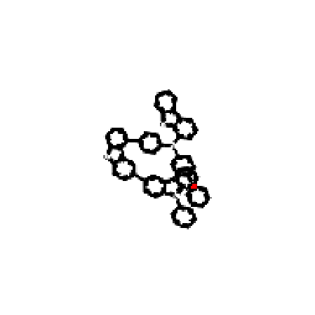 c1ccc(-c2ccc(N(c3ccc(-c4cccc5oc6ccc(-c7ccc8c(c7)c7ccccc7n8-c7ccccc7)cc6c45)cc3)c3cccc4c3oc3ccccc34)cc2)cc1